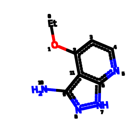 CCOc1ccnc2[nH]nc(N)c12